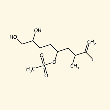 C=C(I)C(C)CC(CCC(O)CO)OS(C)(=O)=O